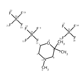 CN1CCOC(C)(C)C1.F[B-](F)(F)F.F[B-](F)(F)F.F[B-](F)(F)F